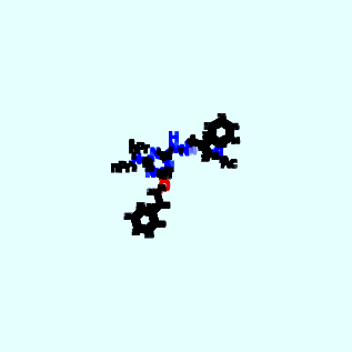 CCCN(CCC)c1nc(N/N=C/c2cn(C(C)=O)c3ccccc23)nc(OCCc2ccccc2)n1